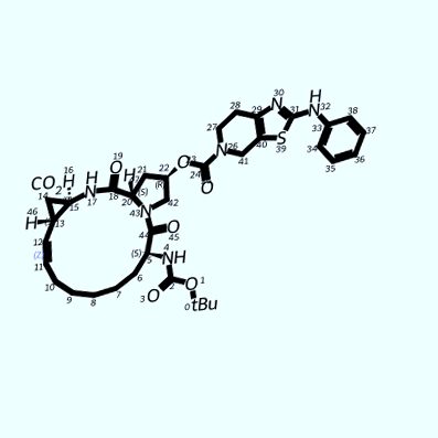 CC(C)(C)OC(=O)N[C@H]1CCCCC/C=C\[C@@H]2C[C@@]2(C(=O)O)NC(=O)[C@@H]2C[C@@H](OC(=O)N3CCc4nc(Nc5ccccc5)sc4C3)CN2C1=O